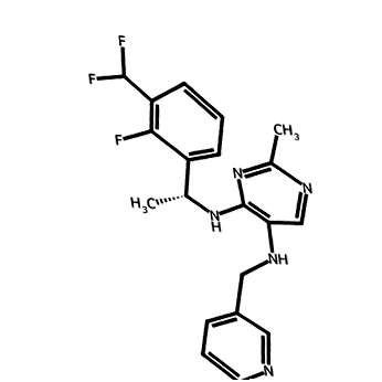 Cc1ncc(NCc2cccnc2)c(N[C@H](C)c2cccc(C(F)F)c2F)n1